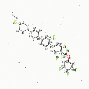 CCSC1CCC(c2ccc(-c3ccc(-c4cc(F)c(C(F)(F)Oc5cc(F)c(F)c(F)c5)c(F)c4)c(F)c3)cc2)CC1